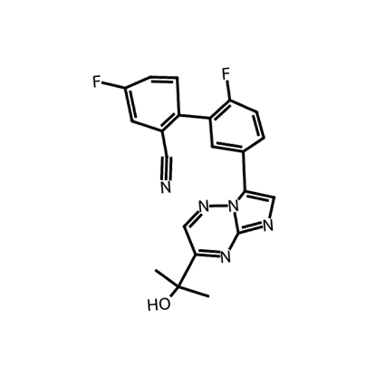 CC(C)(O)c1cnn2c(-c3ccc(F)c(-c4ccc(F)cc4C#N)c3)cnc2n1